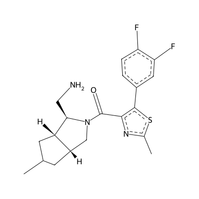 Cc1nc(C(=O)N2C[C@@H]3CC(C)C[C@@H]3[C@H]2CN)c(-c2ccc(F)c(F)c2)s1